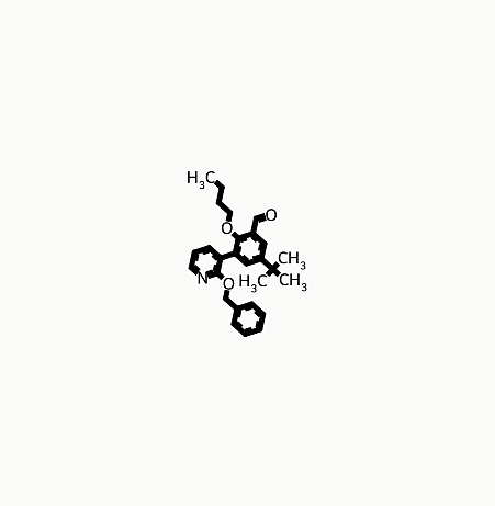 CCCCOc1c(C=O)cc(C(C)(C)C)cc1-c1cccnc1OCc1ccccc1